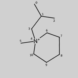 CC(C)C[N+]1(C)CCCCC1